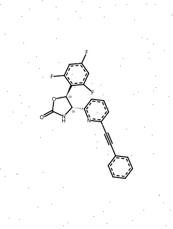 O=C1N[C@@H](c2cccc(C#Cc3ccccc3)n2)[C@H](c2c(F)cc(F)cc2F)O1